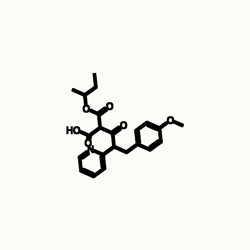 CCC(C)OC(=O)C(C(=O)O)C(=O)C(Cc1ccc(OC)cc1)c1ccccn1